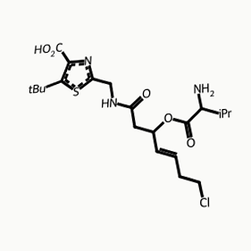 CC(C)C(N)C(=O)OC(/C=C/CCCl)CC(=O)NCc1nc(C(=O)O)c(C(C)(C)C)s1